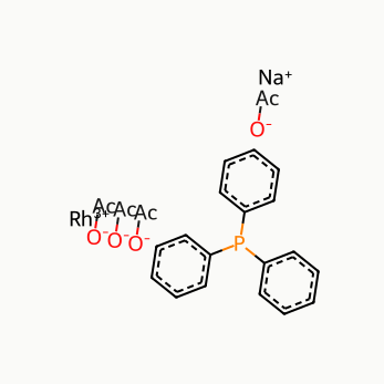 CC(=O)[O-].CC(=O)[O-].CC(=O)[O-].CC(=O)[O-].[Na+].[Rh+3].c1ccc(P(c2ccccc2)c2ccccc2)cc1